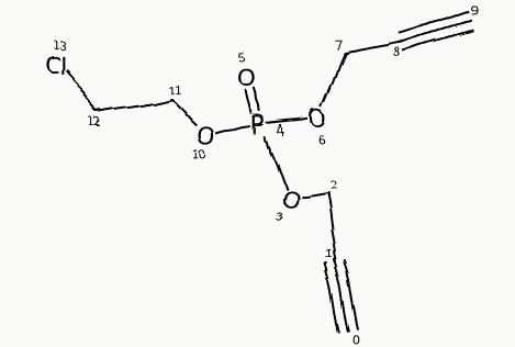 C#CCOP(=O)(OCC#C)OCCCl